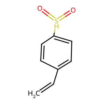 C=Cc1ccc([SH](=O)=O)cc1